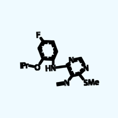 C=Nc1c(Nc2ccc(F)cc2OC(C)C)ncnc1SC